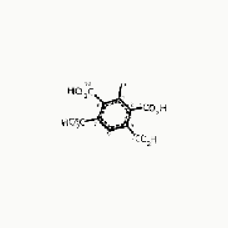 Cc1c(C(=O)O)c(C(=O)O)cc(C(=O)O)c1C(=O)O